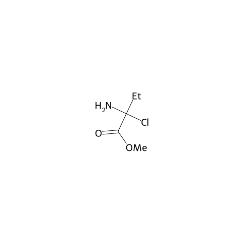 CCC(N)(Cl)C(=O)OC